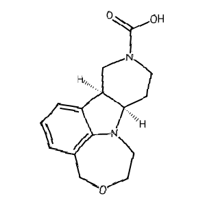 O=C(O)N1CC[C@@H]2[C@H](C1)c1cccc3c1N2CCOC3